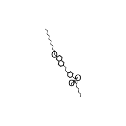 CCCCCCCCCCOc1ccc2cc(CCc3ccc(C(=O)[C@@H](CCCCCC)OC)cc3)ccc2c1